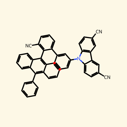 N#Cc1ccc2c(c1)c1cc(C#N)ccc1n2-c1cccc(-c2cccc(C#N)c2-c2c3ccccc3c(-c3ccccc3)c3ccccc23)c1